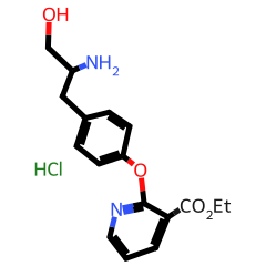 CCOC(=O)c1cccnc1Oc1ccc(CC(N)CO)cc1.Cl